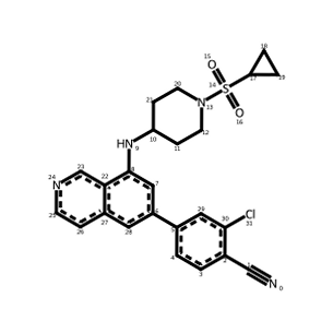 N#Cc1ccc(-c2cc(NC3CCN(S(=O)(=O)C4CC4)CC3)c3cnccc3c2)cc1Cl